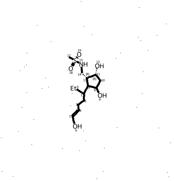 CCC(CCC=CO)C1C(O)C[C@@H](O)[C@H]1CNS(C)(=O)=O